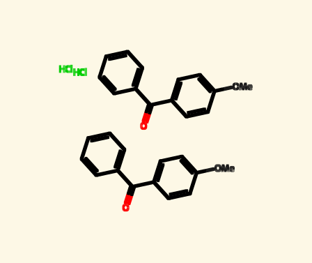 COc1ccc(C(=O)c2ccccc2)cc1.COc1ccc(C(=O)c2ccccc2)cc1.Cl.Cl